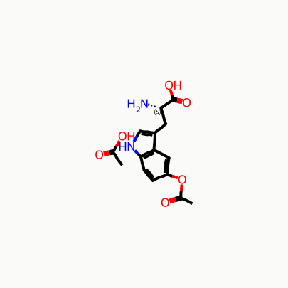 CC(=O)O.CC(=O)Oc1ccc2[nH]cc(C[C@H](N)C(=O)O)c2c1